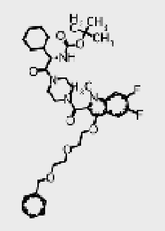 Cn1c(C(=O)N2CCN(C(=O)[C@@H](NC(=O)OC(C)(C)C)C3CCCCC3)CC2)c(OCCOCCOCc2ccccc2)c2cc(F)c(F)cc21